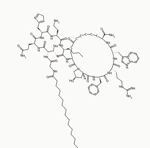 CCCCCCCCCCCCCCCC(=O)NCC(=O)N[C@H](C(=O)N[C@@H](CCC(N)=O)C(=O)N[C@@H](CC1=CCC=N1)C(=O)N[C@@H](CCN)C(=O)N[C@@H](CCCC)C(=O)N[C@H]1CCC(=O)CCCCC[C@@H](C(N)=O)NC(=O)[C@H](Cc2c[nH]c3ccccc23)NC(=O)[C@H](CCCNC(=N)N)NC(=O)[C@@H](Cc2ccccc2)NC(=O)[C@@H]2C[C@@H](O)CN2C1=O)[C@@H](C)O